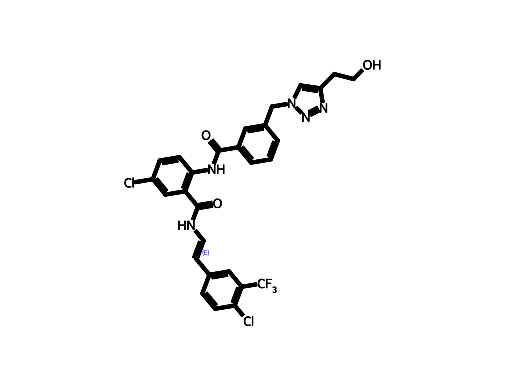 O=C(Nc1ccc(Cl)cc1C(=O)N/C=C/c1ccc(Cl)c(C(F)(F)F)c1)c1cccc(Cn2cc(CCO)nn2)c1